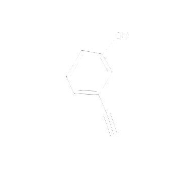 C#Cc1c[c]cc(O)c1